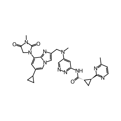 Cc1ccnc([C@H]2C[C@@H]2C(=O)Nc2cc(N(C)Cc3cn4cc(C5CC5)cc(N5CC(=O)N(C)C5=O)c4n3)cnn2)n1